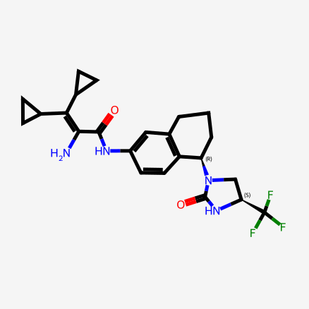 NC(C(=O)Nc1ccc2c(c1)CCC[C@H]2N1C[C@@H](C(F)(F)F)NC1=O)=C(C1CC1)C1CC1